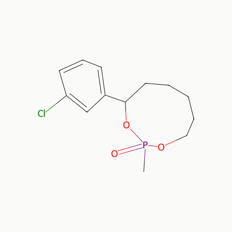 CP1(=O)OCCCCCC(c2cccc(Cl)c2)O1